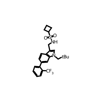 CC(C)(C)Cn1cc(CNS(=O)(=O)C2CCC2)c2ccc(-c3ccccc3C(F)(F)F)cc21